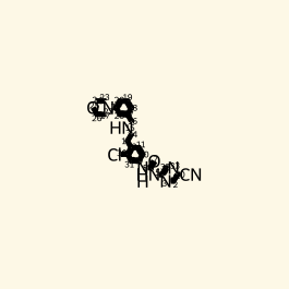 N#Cc1cnc(NC(=O)Nc2ccc(CCNCc3cccc(N4CCOCC4)c3)c(Cl)c2)cn1